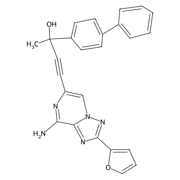 CC(O)(C#Cc1cn2nc(-c3ccco3)nc2c(N)n1)c1ccc(-c2ccccc2)cc1